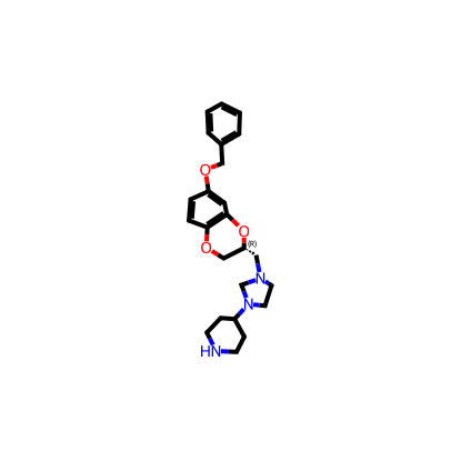 c1ccc(COc2ccc3c(c2)O[C@H](CN2CCN(C4CCNCC4)C2)CO3)cc1